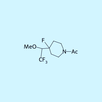 COC(C(F)(F)F)C1(F)CCN(C(C)=O)CC1